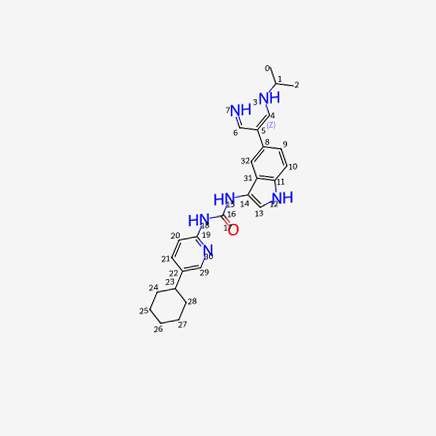 CC(C)N/C=C(\C=N)c1ccc2[nH]cc(NC(=O)Nc3ccc(C4CCCCC4)cn3)c2c1